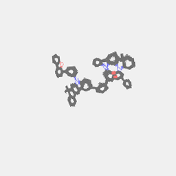 CC1(C)c2ccccc2-c2cc3c4cc(-c5cccc(-c6cccc(-n7c8ccccc8c8ccc9c(c87)N(c7cccc(-c8ccccc8)c7)C7C=CC=CC97C)c6)c5)ccc4n(-c4cccc(-c5cccc6c5oc5ccccc56)c4)c3cc21